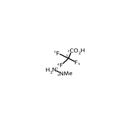 CNN.O=C(O)C(F)(F)F